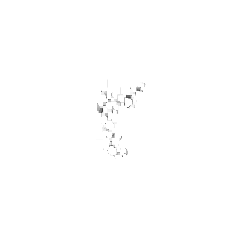 COc1cccc(NC(=O)[C@H]2CC[C@@H](n3cnc4c(N)nc(-c5cccc(NC=O)c5)nc43)CC2)c1